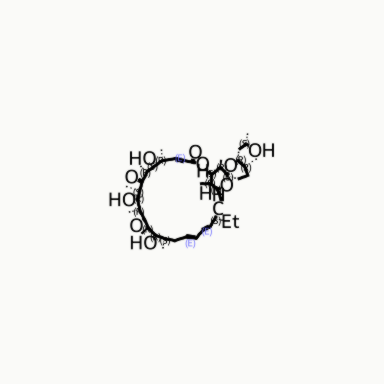 CC[C@@H]1/C=C/C=C/C[C@H](C)[C@@H](O)[C@@H](C)C(=O)[C@H](C)[C@@H](O)[C@H](C)C(=O)[C@H](C)[C@@H](O)[C@H](C)/C=C/C(=O)O[C@H]2[C@@H](C)[C@@H](CC1)O[C@@]1(CC[C@@H](C)[C@@H](C[C@H](C)O)O1)[C@@H]2C